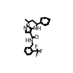 CC1CC(c2ccccc2)Nc2c(C(=O)NCc3ccccc3C(F)(F)F)cnn21